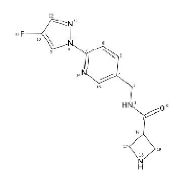 O=C(NCc1ccc(-n2cc(F)cn2)nc1)C1CNC1